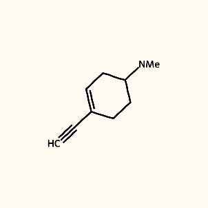 C#CC1=CCC(NC)CC1